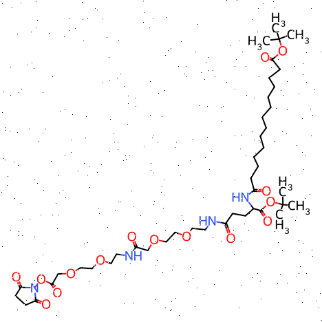 CC(C)(C)OC(=O)CCCCCCCCCCCCC(=O)NC(CCC(=O)NCCOCCOCC(=O)NCCOCCOCC(=O)ON1C(=O)CCC1=O)C(=O)OC(C)(C)C